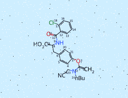 C=C(Oc1ccc(C[C@H](NC(=O)c2ccccc2Cl)C(=O)O)cc1)N(CC#N)CCCC